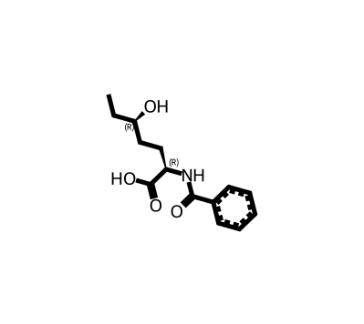 CC[C@@H](O)CC[C@@H](NC(=O)c1ccccc1)C(=O)O